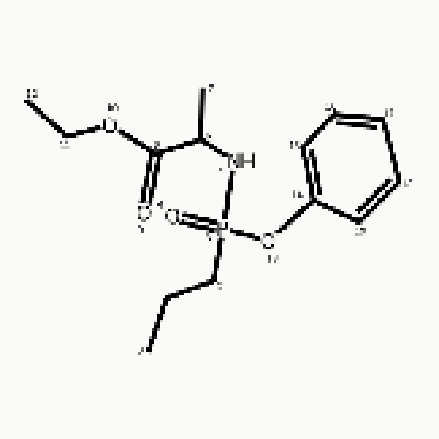 CCCP(=O)(NC(C)C(=O)OCC)Oc1ccccc1